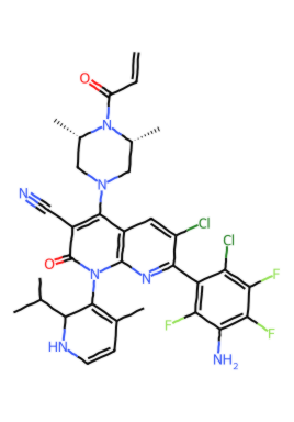 C=CC(=O)N1[C@H](C)CN(c2c(C#N)c(=O)n(C3=C(C)C=CNC3C(C)C)c3nc(-c4c(F)c(N)c(F)c(F)c4Cl)c(Cl)cc23)C[C@@H]1C